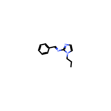 CCCn1ccnc1N=Cc1ccccc1